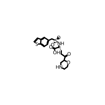 O=C(CC[C@@H](NS(=O)(=O)Cc1ccc2sccc2c1)C(=O)O)C1CNCCO1